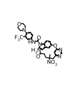 CC(CCC(N)=O)(Cc1cc(Oc2ccc3c(ccn3C(=O)Nc3ccc(N4CCOCC4)c(C(F)(F)F)c3)c2)ncn1)[N+](=O)[O-]